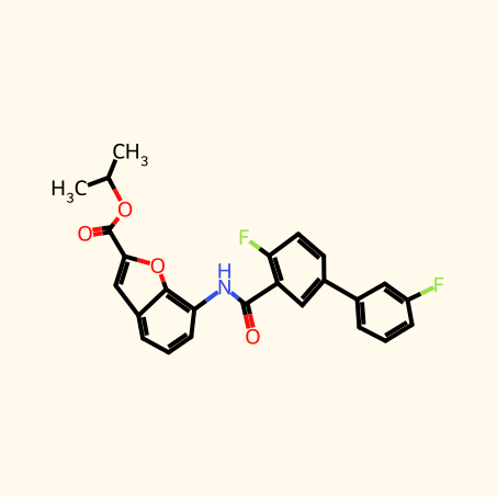 CC(C)OC(=O)c1cc2cccc(NC(=O)c3cc(-c4cccc(F)c4)ccc3F)c2o1